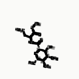 CC(=O)O[C@@H]1O[C@H](C(=O)NC(CC(=O)O)C(=O)OC(C)(C)C)[C@@H](OC(C)=O)[C@H](OC(C)=O)[C@H]1OC(C)=O